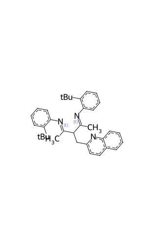 C/C(=N\c1ccccc1C(C)(C)C)C(Cc1ccc2ccccc2n1)/C(C)=N/c1ccccc1C(C)(C)C